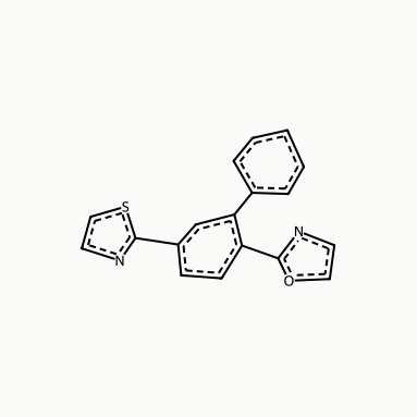 c1ccc(-c2cc(-c3nccs3)ccc2-c2ncco2)cc1